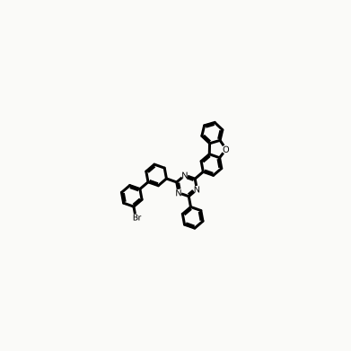 Brc1cccc(C2=CC(c3nc(-c4ccccc4)nc(-c4ccc5oc6ccccc6c5c4)n3)CC=C2)c1